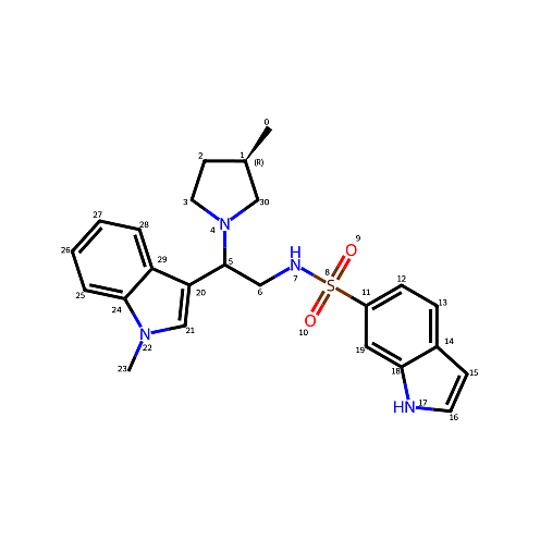 C[C@@H]1CCN(C(CNS(=O)(=O)c2ccc3cc[nH]c3c2)c2cn(C)c3ccccc23)C1